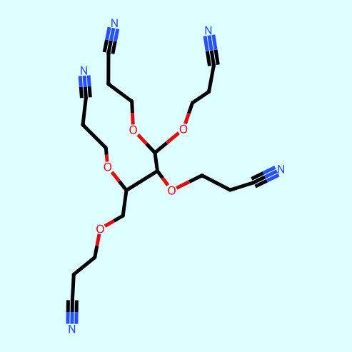 N#CCCOCC(OCCC#N)C(OCCC#N)C(OCCC#N)OCCC#N